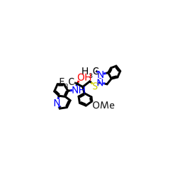 COc1cccc(C(CSN2Cc3ccccc3N2C)C(O)(Nc2cccc3ncccc23)C(F)(F)F)c1